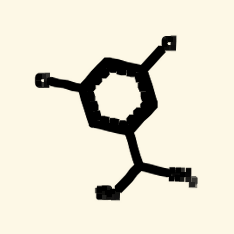 CC(C)(C)C(N)c1cc(Cl)cc(Cl)c1